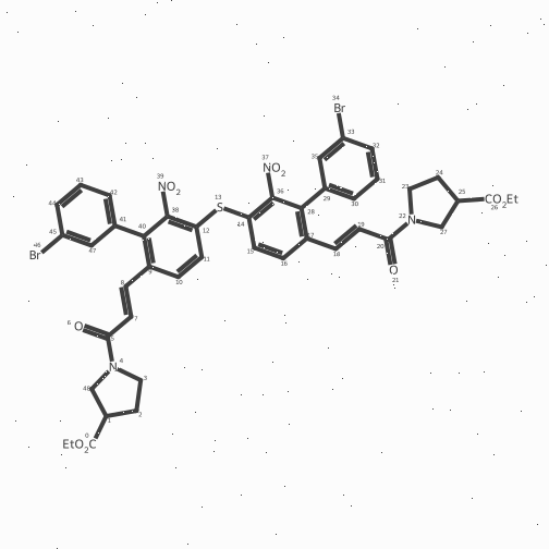 CCOC(=O)C1CCN(C(=O)/C=C/c2ccc(Sc3ccc(/C=C/C(=O)N4CCC(C(=O)OCC)C4)c(-c4cccc(Br)c4)c3[N+](=O)[O-])c([N+](=O)[O-])c2-c2cccc(Br)c2)C1